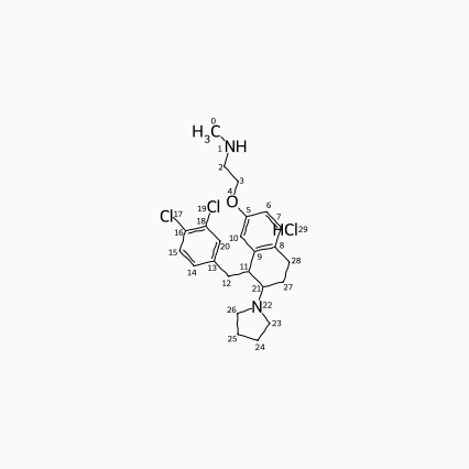 CNCCOc1ccc2c(c1)C(Cc1ccc(Cl)c(Cl)c1)C(N1CCCC1)CC2.Cl